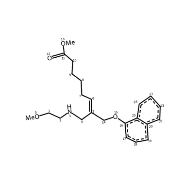 COCCNCC(=CCCCCC(=O)OC)COc1cccc2ccccc12